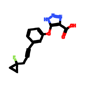 O=C(O)c1nn[nH]c1Oc1cccc(C#CCC2(F)CC2)c1